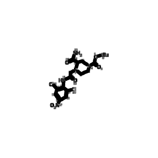 CC(C)(C)OC(=O)N1CCN(CC(=O)Nc2c(Cl)cc([N+](=O)[O-])cc2Cl)C(C(N)=O)C1